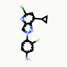 Nc1ccc(-n2cc3nc(Cl)cc(C4CC4)c3n2)c(F)c1